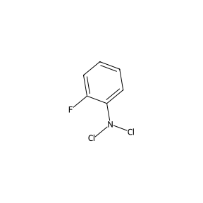 Fc1ccccc1N(Cl)Cl